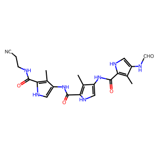 Cc1c(NC=O)c[nH]c1C(=O)Nc1c[nH]c(C(=O)Nc2c[nH]c(C(=O)NCCC#N)c2C)c1C